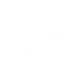 CC(C)N1CCC(O)C(O)CC1